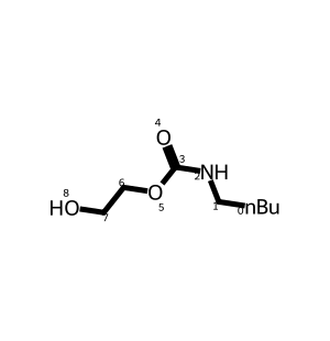 CCCCCNC(=O)OCCO